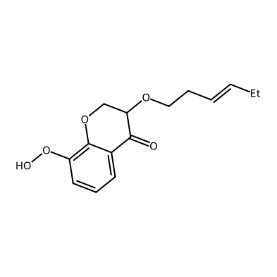 CCC=CCCOC1COc2c(OO)cccc2C1=O